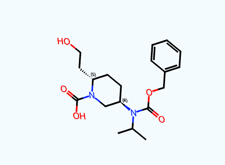 CC(C)N(C(=O)OCc1ccccc1)[C@@H]1CC[C@@H](CCO)N(C(=O)O)C1